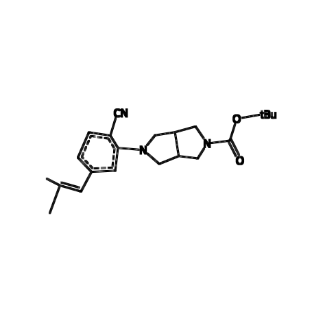 CC(C)=Cc1ccc(C#N)c(N2CC3CN(C(=O)OC(C)(C)C)CC3C2)c1